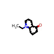 CCn1cccc2c(=O)cccc1-2